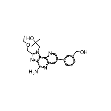 CCOCc1nc2c(N)nc3cc(-c4cccc(CO)c4)cnc3c2n1CC(C)(C)O